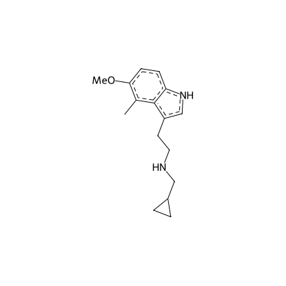 COc1ccc2[nH]cc(CCNCC3CC3)c2c1C